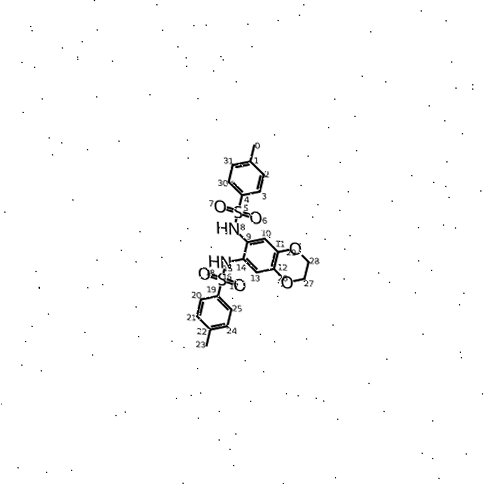 Cc1ccc(S(=O)(=O)Nc2cc3c(cc2NS(=O)(=O)c2ccc(C)cc2)OCCO3)cc1